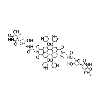 Cc1cn([C@@H]2C[C@@H](O)[C@H](CNC(=O)CCN3C(=O)c4cc(Oc5cccnc5)c5c6c(Oc7cccnc7)cc7c8c(cc(Oc9cccnc9)c(c9c(Oc%10cccnc%10)cc(c4c59)C3=O)c86)C(=O)N(CCC(=O)NC[C@H]3O[C@@H](n4cc(C)c(=O)[nH]c4=O)C[C@@H]3O)C7=O)O2)c(=O)[nH]c1=O